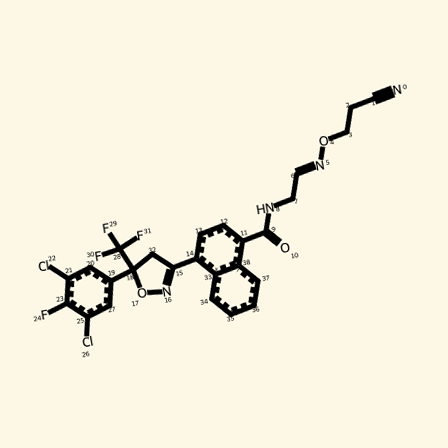 N#CCCON=CCNC(=O)c1ccc(C2=NOC(c3cc(Cl)c(F)c(Cl)c3)(C(F)(F)F)C2)c2ccccc12